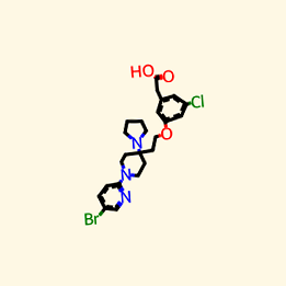 O=C(O)Cc1cc(Cl)cc(OCCC2(N3CCCC3)CCN(c3ccc(Br)cn3)CC2)c1